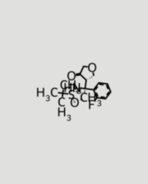 CC(C)(C)[S@@+]([O-])N[C@](C)(c1ccccc1F)[C@H]1COCC1=O